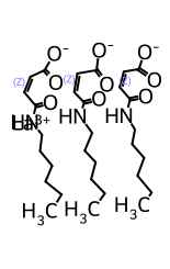 CCCCCCNC(=O)/C=C\C(=O)[O-].CCCCCCNC(=O)/C=C\C(=O)[O-].CCCCCCNC(=O)/C=C\C(=O)[O-].[La+3]